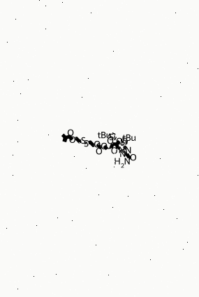 C=C(C)C(=O)OCCSSCCOC(=O)OC[C@H]1O[C@@H](n2cnc(C(N)=O)n2)C(O[Si](C)(C)C(C)(C)C)C1O[Si](C)(C)C(C)(C)C